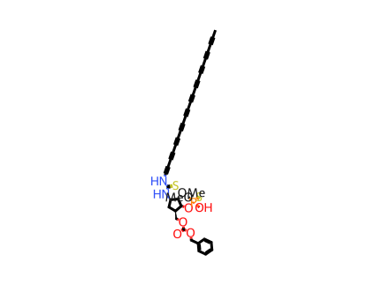 CC#CC#CC#CC#CC#CC#CC#CC#CC#CC#CNC(=S)N[C@H]1C[C@H](COC(=O)OCc2ccccc2)C(OP(O)(=S)OC)[C@@H]1OC